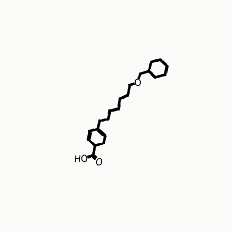 O=C(O)C1C=CC(CCCCCCCOCC2CCCCC2)=CC1